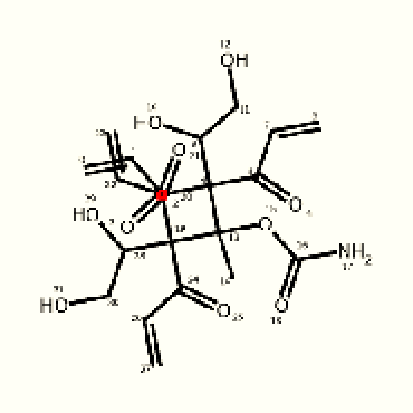 C=CC(=O)C(C(=O)C=C)(C(O)CO)C(C)(OC(N)=O)C(C(=O)C=C)(C(=O)C=C)C(O)CO